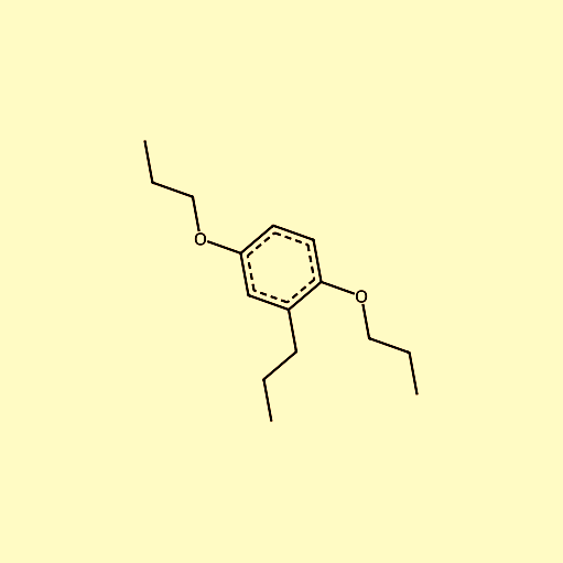 CCCOc1ccc(OCCC)c(CCC)c1